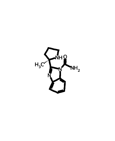 C[C@]1(c2nc3ccccc3n2C(N)=O)CCCN1